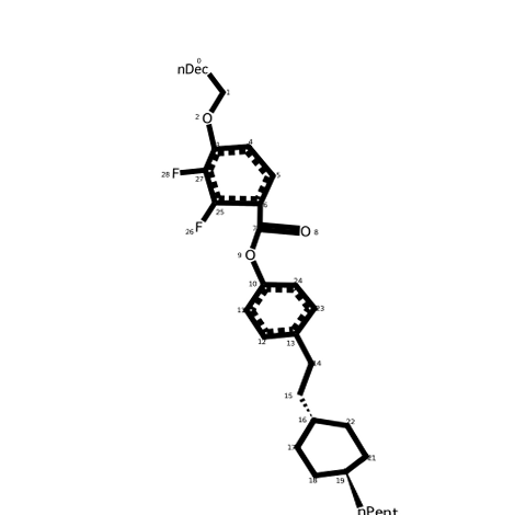 CCCCCCCCCCCOc1ccc(C(=O)Oc2ccc(CC[C@H]3CC[C@H](CCCCC)CC3)cc2)c(F)c1F